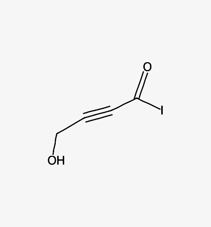 O=C(I)C#CCO